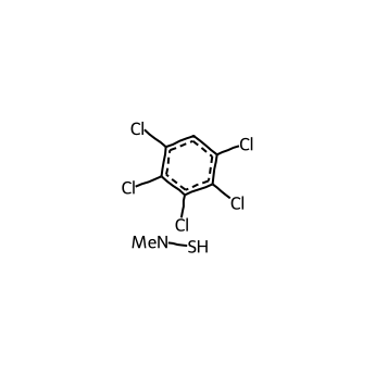 CNS.Clc1cc(Cl)c(Cl)c(Cl)c1Cl